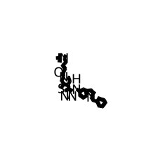 CN(C/C=C/C(=O)N1CCc2c(sc3ncnc(Nc4ccc5c(ccn5Cc5ccccc5)c4)c23)C1)C(C)(C)C